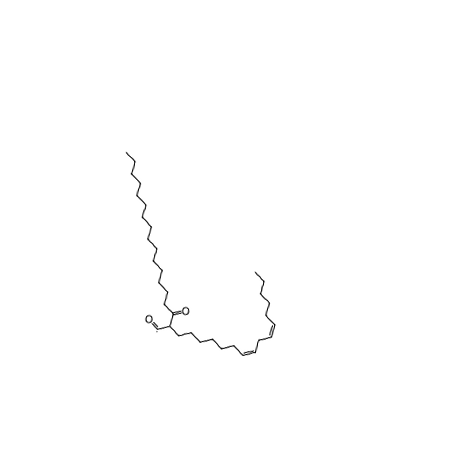 CCCCC/C=C\C/C=C\CCCCCCC([C]=O)C(=O)CCCCCCCCCCCCCCC